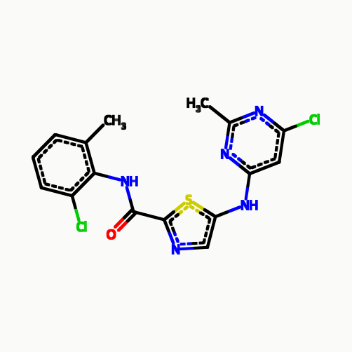 Cc1nc(Cl)cc(Nc2cnc(C(=O)Nc3c(C)cccc3Cl)s2)n1